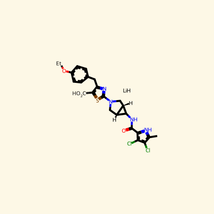 CCOc1ccc(Cc2nc(N3C[C@@H]4C(NC(=O)c5[nH]c(C)c(Cl)c5Cl)[C@@H]4C3)sc2C(=O)O)cc1.[LiH]